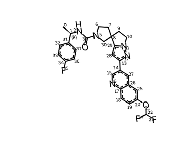 C[C@@H](NC(=O)N1CCC2(CCn3nc(-c4cnc5ccc(OC(F)F)cc5c4)cc32)C1)c1ccc(F)cc1